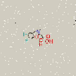 CN(Cc1ccc(F)c(F)c1)C(=O)/C=C(\O)C(=O)O